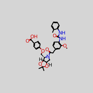 COc1cc(CC(=O)N2C[C@H]3OC(C)(C)O[C@@H]3[C@H]2COc2ccc(C(=O)O)cc2)ccc1NC(=O)Nc1ccccc1C